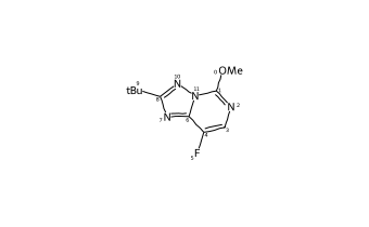 COc1ncc(F)c2nc(C(C)(C)C)nn12